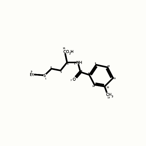 CCSCCC(NC(=O)c1cccc(C)c1)C(=O)O